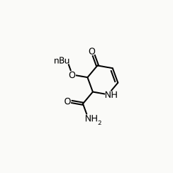 CCCCOC1C(=O)C=CNC1C(N)=O